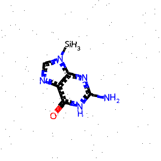 Nc1nc2c(ncn2[SiH3])c(=O)[nH]1